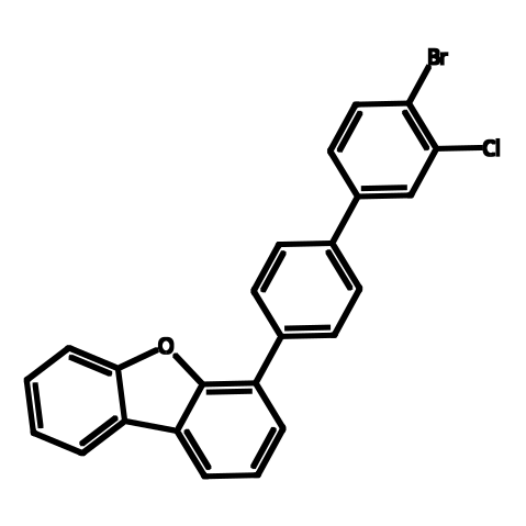 Clc1cc(-c2ccc(-c3cccc4c3oc3ccccc34)cc2)ccc1Br